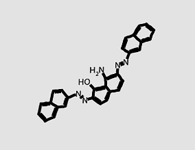 Nc1c(N=Nc2ccc3ccccc3c2)ccc2ccc(N=Nc3ccc4ccccc4c3)c(O)c12